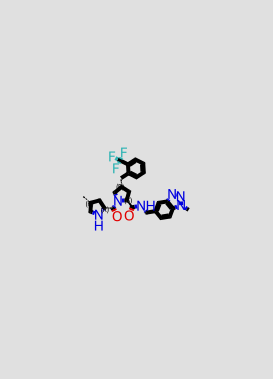 C[C@H]1CN[C@@H](C(=O)N2C[C@H](Cc3ccccc3C(F)(F)F)C[C@H]2C(=O)NCc2ccc3c(c2)nnn3C)C1